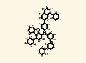 c1ccc(-c2cccc(-c3cccc(N(c4ccc(-c5ccc6cccc(-c7ccccc7)c6c5)cc4)c4ccc(-c5ccccc5)c5c4oc4ccccc45)c3)c2)cc1